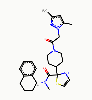 Cc1cc(C(F)(F)F)nn1CC(=O)N1CCC(C2(C(=O)N(C)[C@@H]3CCCc4ccccc43)NC=CS2)CC1